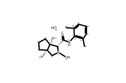 CCCN1C[C@H]2CCC[C@H]2[C@@H]1C(=O)Nc1c(C)cccc1C.Cl